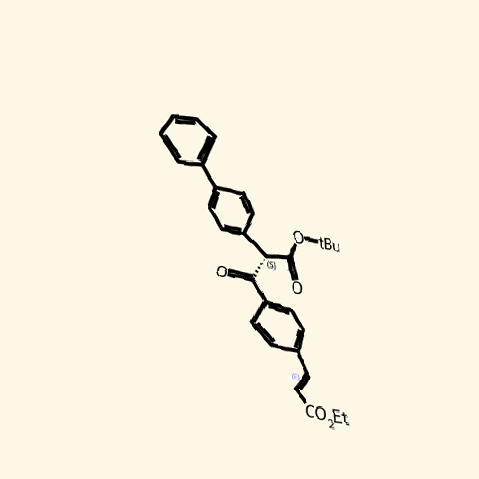 CCOC(=O)/C=C/c1ccc(C(=O)[C@@H](C(=O)OC(C)(C)C)c2ccc(-c3ccccc3)cc2)cc1